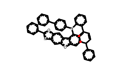 C1=CC(c2ccccc2)CC=C1c1ccccc1N(c1ccc(-c2ccccc2)cc1)c1cccc2oc3cc4nc(-c5ccccc5)oc4cc3c12